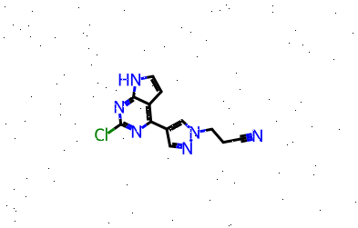 N#CCCn1cc(-c2nc(Cl)nc3[nH]ccc23)cn1